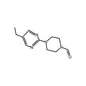 CCc1cnc(N2CCN(C=O)CC2)nc1